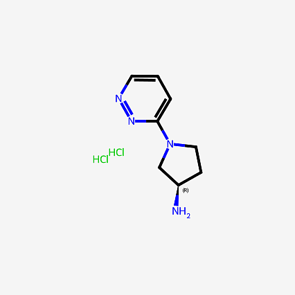 Cl.Cl.N[C@@H]1CCN(c2cccnn2)C1